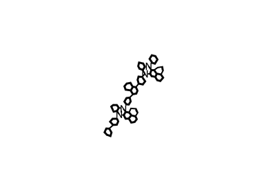 C1=Cc2cccc3cc4c(c(c23)C1)N(c1ccccc1)c1ccccc1N4c1ccc(-c2ccc(-c3ccc(N4c5ccccc5N(c5ccc(-c6ccccc6)cc5)c5cc6cccc7c6c(c54)CC=C7)cc3)c3ccccc23)cc1